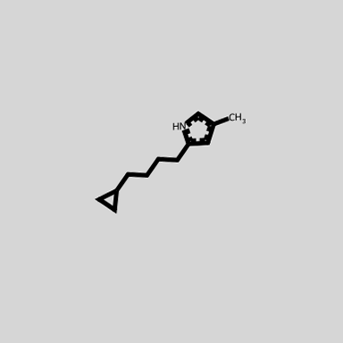 Cc1c[nH]c(CCCCC2CC2)c1